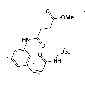 CCCCCCCCCCNC(=O)/C=C\c1cccc(NC(=O)CCC(=O)OC)c1